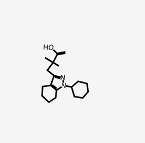 C=C(O)C(C)(C)Cc1nn(C2CCCCC2)c2c1CCCC2